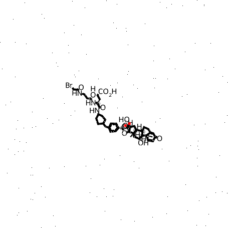 C[C@]12C=CC(=O)C=C1CC[C@@H]1[C@@H]2[C@@H](O)C[C@@]2(C)[C@H]1C[C@H]1O[C@@H](c3ccc(CC4CCC(NC(=O)[C@H](CCC(=O)O)NC(O)CCNC(=O)CBr)CC4)cc3)O[C@]12C(=O)CO